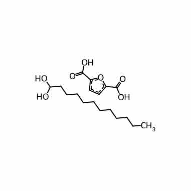 CCCCCCCCCCCC(O)O.O=C(O)c1ccc(C(=O)O)o1